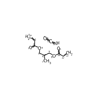 C=CC(=O)OCC(C)COC(=O)C=C.N=C=O